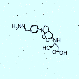 C#C[C@H](CC(=O)O)NC(=O)CC1CCN(c2ccc(C=NN)cc2)C1=O